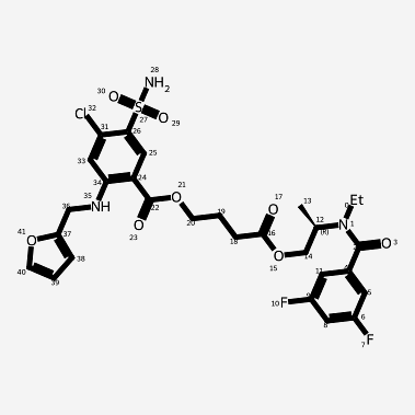 CCN(C(=O)c1cc(F)cc(F)c1)[C@H](C)COC(=O)CCCOC(=O)c1cc(S(N)(=O)=O)c(Cl)cc1NCc1ccco1